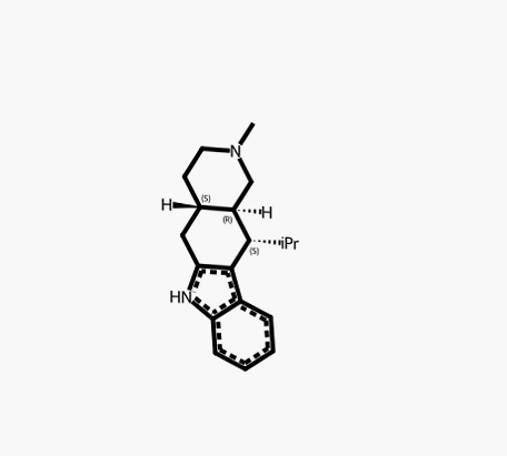 CC(C)[C@@H]1c2c([nH]c3ccccc23)C[C@@H]2CCN(C)C[C@H]21